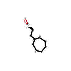 O=C=CCC1CCCCCC1